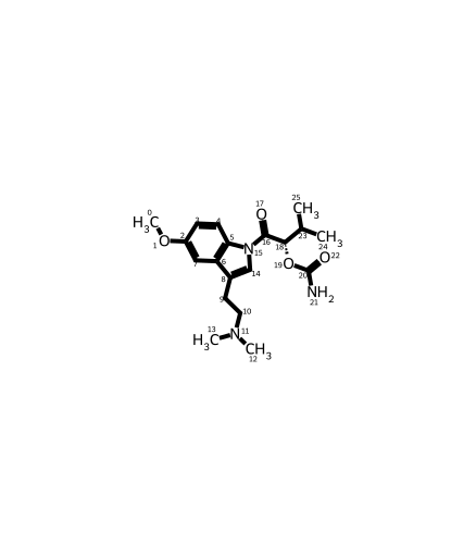 COc1ccc2c(c1)c(CCN(C)C)cn2C(=O)[C@@H](OC(N)=O)C(C)C